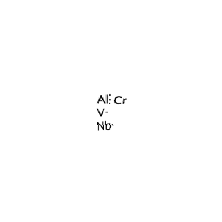 [Al].[Cr].[Nb].[V]